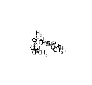 COC(=O)c1c(Cl)cccc1Oc1cncc(C)c1-c1ccc(N2CCN(C(=O)OC(C)(C)C)CC2)c(F)c1